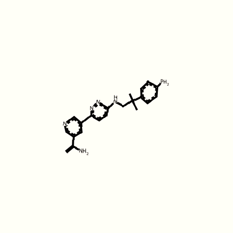 C=C(N)c1cncc(-c2ccc(NCC(C)(C)c3ccc(P)cc3)nn2)c1